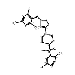 Cc1cc(C)c(Cc2csc(N3CCC(S(=O)(=O)c4cc(F)ccc4C)CC3)n2)c(C)c1